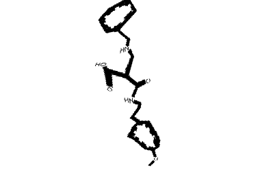 COc1ccc(CCNC(=O)C(CNCc2ccccc2)C(=O)O)cc1